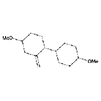 C=C1CC(OC)CCC1C1CCC(OC)CC1